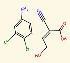 N#CC(=CCO)C(=O)O.Nc1ccc(Cl)c(Cl)c1